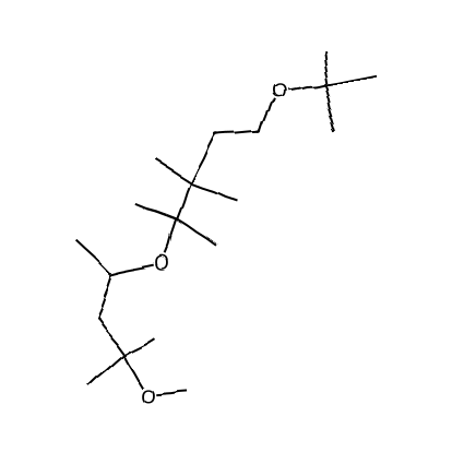 COC(C)(C)CC(C)OC(C)(C)C(C)(C)CCOC(C)(C)C